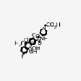 CC1(C)c2ccc(F)cc2S(O)(O)c2cc(S(=O)(=O)NC3CCN(CC(=O)O)CC3)c(Cl)cc21